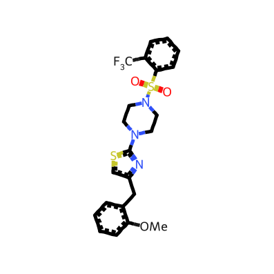 COc1ccccc1Cc1csc(N2CCN(S(=O)(=O)c3ccccc3C(F)(F)F)CC2)n1